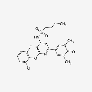 CCCCS(=O)(=O)Nc1cc(-c2cc(C)c(=O)n(C)c2)nc(Oc2c(F)cccc2Cl)n1